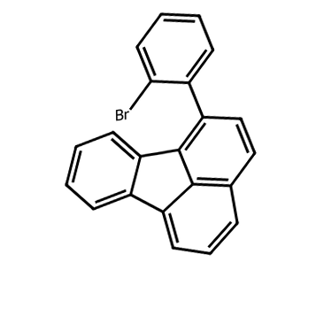 Brc1ccccc1-c1ccc2cccc3c2c1-c1ccccc1-3